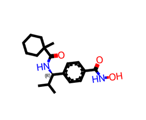 CC(C)[C@@H](NC(=O)C1(C)CCCCC1)c1ccc(C(=O)NO)cc1